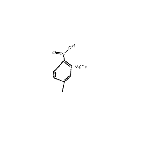 Cc1ccc(S(=O)O)cc1.[MgH2]